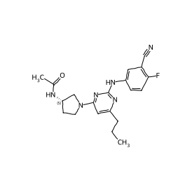 CCCc1cc(N2CC[C@H](NC(C)=O)C2)nc(Nc2ccc(F)c(C#N)c2)n1